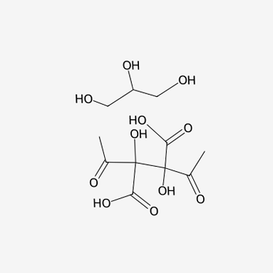 CC(=O)C(O)(C(=O)O)C(O)(C(C)=O)C(=O)O.OCC(O)CO